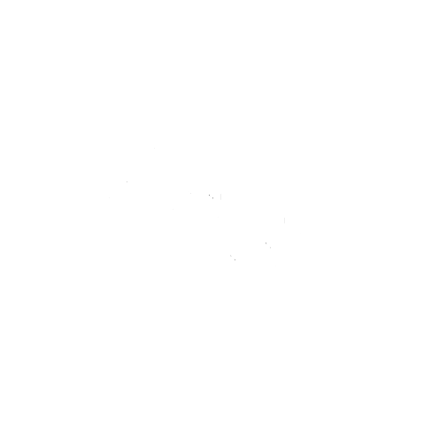 O=C(Nc1ccnc(N(c2cccc(Cl)c2)[SH](=O)=O)c1)c1cccc2ccc(=O)oc12